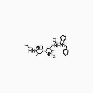 CCCCNC(=O)[C@H](C)C[C@H](O)[C@@H](N)C[C@@H](CNC(=O)c1cn(Cc2ccccc2)c2ccccc12)C(C)C